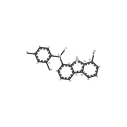 Cc1ccc(N(I)c2cccc3c2oc2c(F)cccc23)c(C)c1